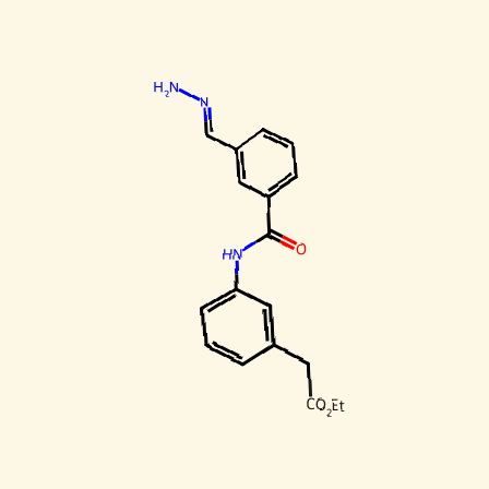 CCOC(=O)Cc1cccc(NC(=O)c2cccc(C=NN)c2)c1